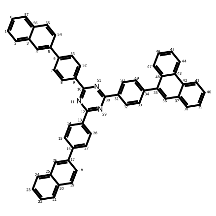 c1ccc2cc(-c3ccc(-c4nc(-c5ccc(-c6ccc7ccccc7c6)cc5)nc(-c5ccc(-c6cc7ccccc7c7ccccc67)cc5)n4)cc3)ccc2c1